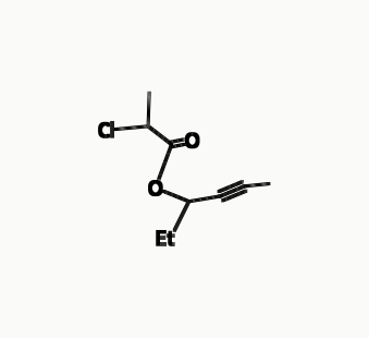 CC#CC(CC)OC(=O)C(C)Cl